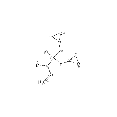 C=C[C](CC)C(CC)(CC1CO1)CC1CO1